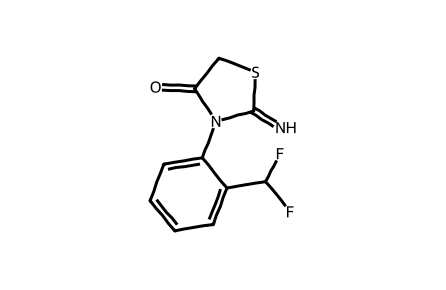 N=C1SCC(=O)N1c1ccccc1C(F)F